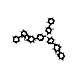 c1ccc(-c2ccc(N(c3ccc(-c4ccc5c(c4)sc4ccccc45)cc3)c3ccc(-c4ccc5oc6c(-c7ccccc7)cccc6c5c4)cc3)cc2)cc1